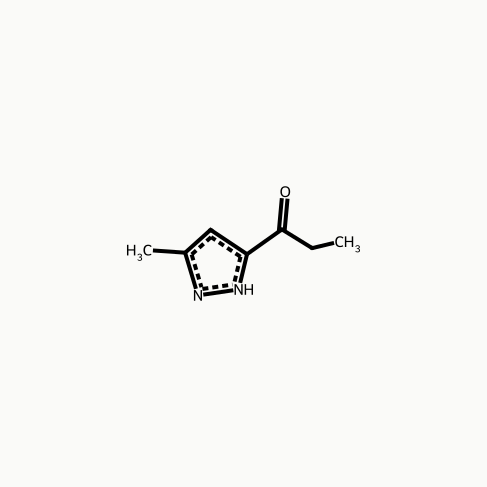 CCC(=O)c1cc(C)n[nH]1